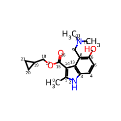 Cc1[nH]c2ccc(O)c(CN(C)C)c2c1C(=O)OCC1CC1